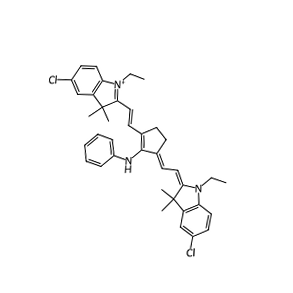 CCN1/C(=C/C=C2\CCC(/C=C/C3=[N+](CC)c4ccc(Cl)cc4C3(C)C)=C2Nc2ccccc2)C(C)(C)c2cc(Cl)ccc21